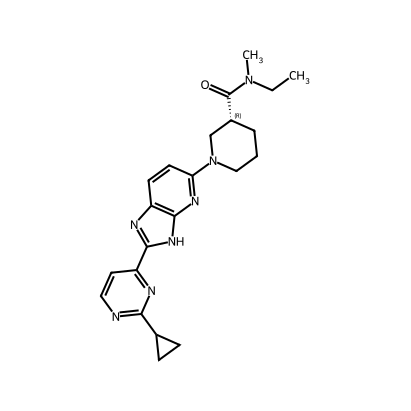 CCN(C)C(=O)[C@@H]1CCCN(c2ccc3nc(-c4ccnc(C5CC5)n4)[nH]c3n2)C1